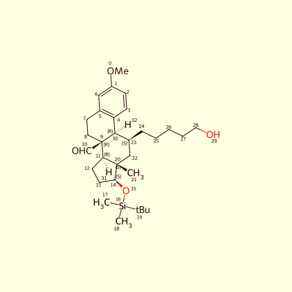 COc1ccc2c(c1)CC[C@@]1(C=O)[C@@H]3CC[C@H](O[Si](C)(C)C(C)(C)C)[C@@]3(C)C[C@H](CCCCCO)[C@H]21